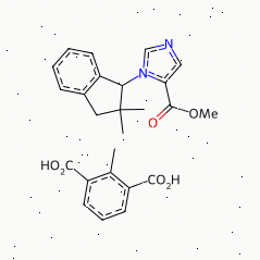 COC(=O)c1cncn1C1c2ccccc2CC1(C)C.Cc1c(C(=O)O)cccc1C(=O)O